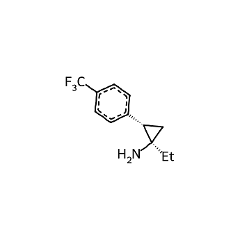 CC[C@@]1(N)C[C@H]1c1ccc(C(F)(F)F)cc1